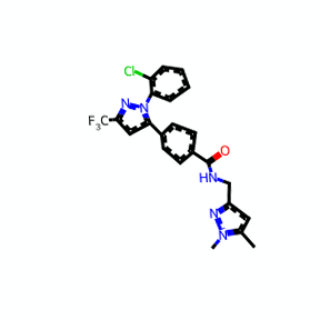 Cc1cc(CNC(=O)c2ccc(-c3cc(C(F)(F)F)nn3-c3ccccc3Cl)cc2)nn1C